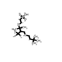 CC(C)(C)CCOCC(C(F)(F)F)C(C)(C)OCCS(=O)(=O)O